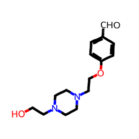 O=Cc1ccc(OCCN2CCN(CCO)CC2)cc1